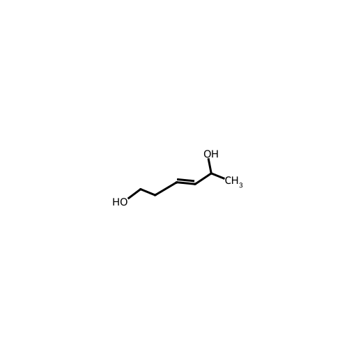 CC(O)/C=C/CCO